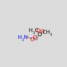 COc1ccc(C2CCC(OCCCN)O2)cc1OC